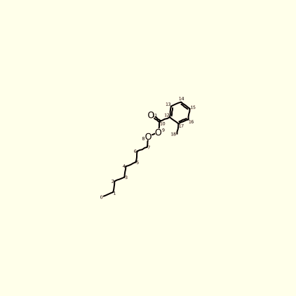 CCCCCCCCOOC(=O)c1ccccc1C